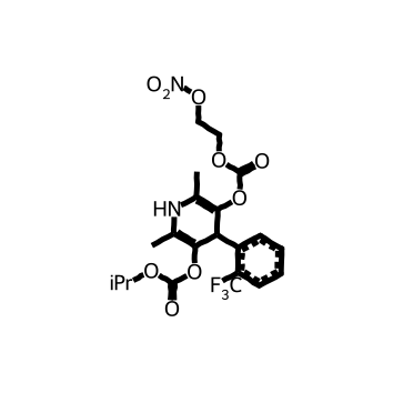 CC1=C(OC(=O)OCCO[N+](=O)[O-])C(c2ccccc2C(F)(F)F)C(OC(=O)OC(C)C)=C(C)N1